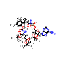 Cc1cc(C)c(C(C)(C)CC(=O)NS(=O)(=O)OC[C@H]2O[C@@H](n3cnc4c(N)ncnc43)[C@@H]3OC(C)(C)O[C@@H]32)c(OC(=O)N[C@@H](CCC(=O)OC(C)(C)C)C(=O)OC(C)(C)C)c1